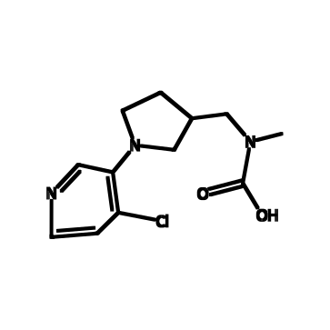 CN(CC1CCN(c2cnccc2Cl)C1)C(=O)O